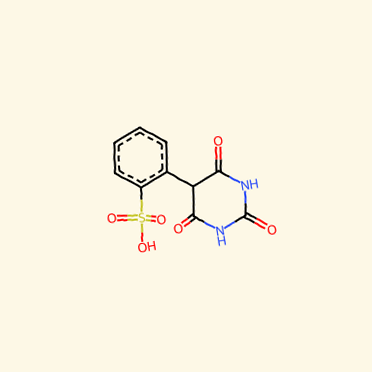 O=C1NC(=O)C(c2ccccc2S(=O)(=O)O)C(=O)N1